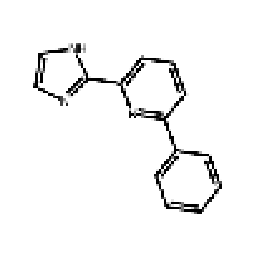 c1ccc(-c2cccc(-c3ncc[nH]3)n2)cc1